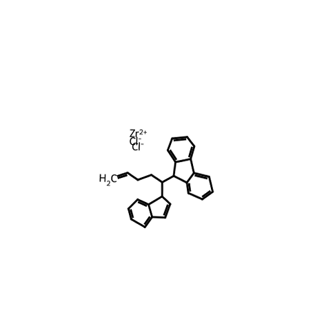 C=CCCC(C1C=Cc2ccccc21)C1c2ccccc2-c2ccccc21.[Cl-].[Cl-].[Zr+2]